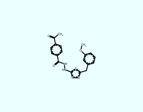 COc1cccc(Cc2nnc(NNC(=O)c3ccc(C(C)=O)cc3)s2)c1